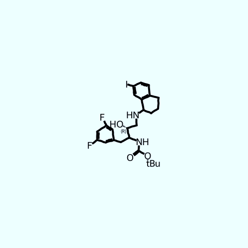 CC(C)(C)OC(=O)NC(Cc1cc(F)cc(F)c1)[C@H](O)CNC1CCCc2ccc(I)cc21